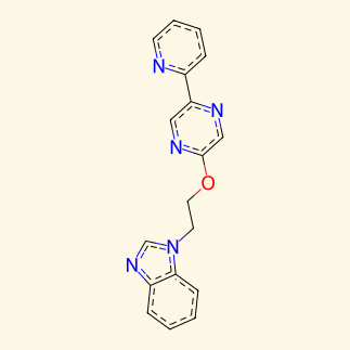 c1ccc(-c2cnc(OCCn3cnc4ccccc43)cn2)nc1